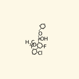 COc1c(C[C@H](O)COCc2ccccc2)cc(F)cc1-c1c(F)cccc1Cl